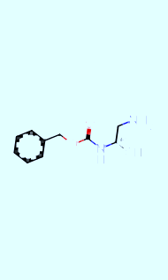 C[C@H](CN)NC(=O)OCc1ccccc1